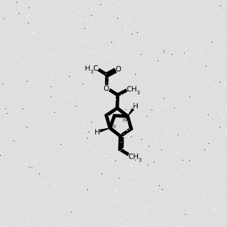 CC=C1C[C@@H]2C[C@H]1CC2C(C)OC(C)=O